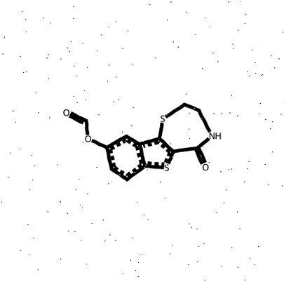 O=COc1ccc2sc3c(c2c1)SCCNC3=O